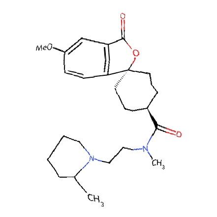 COc1ccc2c(c1)C(=O)O[C@]21CC[C@H](C(=O)N(C)CCN2CCCCC2C)CC1